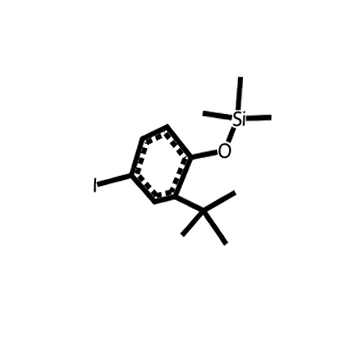 CC(C)(C)c1cc(I)ccc1O[Si](C)(C)C